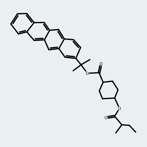 CCC(C)C(=O)OC1CCC(C(=O)OC(C)(C)c2ccc3cc4cc5ccccc5cc4cc3c2)CC1